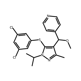 COC(c1ccncc1)c1c(C)nn(C(C)C)c1Sc1cc(Cl)cc(Cl)c1